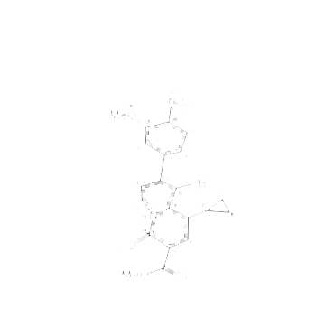 COC(=O)c1cc(C2CC2)c2c(C)c(-c3ccc(N)c(OC)c3)ccn2c1=O